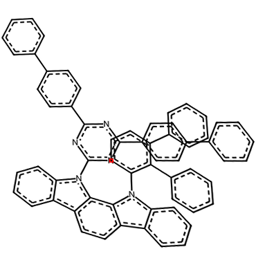 c1ccc(-c2ccc(-c3nc(-c4ccc(-c5ccccc5)cc4)nc(-n4c5ccccc5c5ccc6c7ccccc7n(-c7cccc(-c8ccccc8)c7-c7ccccc7)c6c54)n3)cc2)cc1